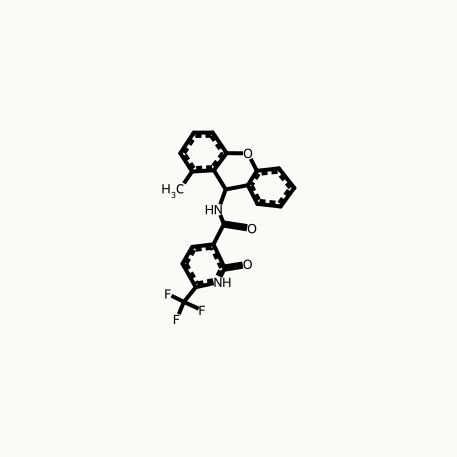 Cc1cccc2c1C(NC(=O)c1ccc(C(F)(F)F)[nH]c1=O)c1ccccc1O2